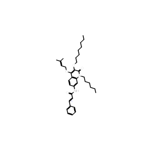 CCCCCCCCOc1c(OCC=C(C)C)c2ccc(NC(=O)/C=C/c3ccccc3)cc2n(CCCCCC)c1=O